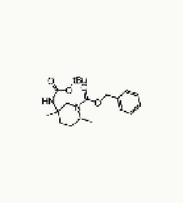 CC1CCC(C)(NC(=O)OC(C)(C)C)CN1C(=O)OCc1ccccc1